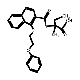 CCC(C)(NC(=O)c1ccc2ccccc2c1OCCOc1ccccc1)C(=O)O